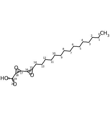 CCCCCCCCCCCCCCCC1=C(C2=C(C(=O)O)O2)O1